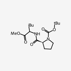 CCC(C)C(NC(=O)[C@@H]1CCCN1C(=O)OC(C)(C)C)C(=O)OC